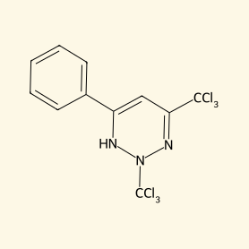 ClC(Cl)(Cl)C1=NN(C(Cl)(Cl)Cl)NC(c2ccccc2)=C1